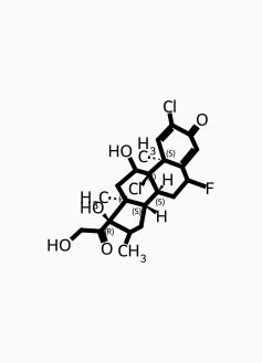 CC1C[C@H]2[C@@H]3CC(F)C4=CC(=O)C(Cl)=C[C@]4(C)[C@@]3(Cl)C(O)C[C@]2(C)[C@@]1(O)C(=O)CO